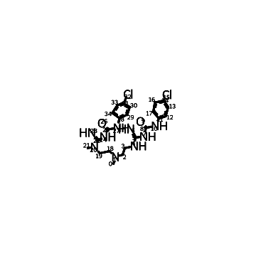 CN(CCNC(=N)NC(=O)Nc1ccc(Cl)cc1)CCN(C)C(=N)NC(=O)Nc1ccc(Cl)cc1